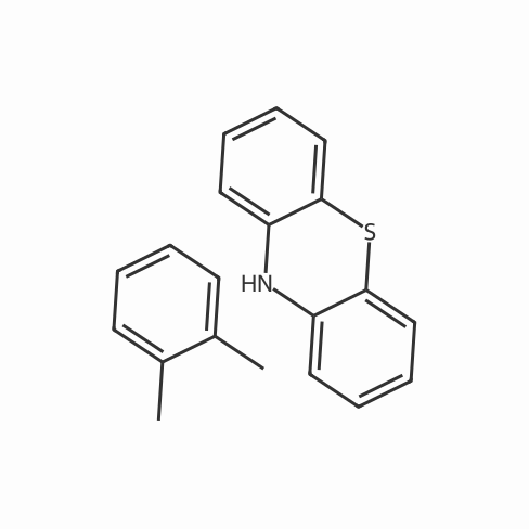 Cc1ccccc1C.c1ccc2c(c1)Nc1ccccc1S2